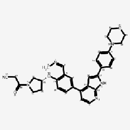 C/N=C\c1cc(-c2ccnc3[nH]c(-c4ccc(N5CCOCC5)cc4)cc23)ccc1O[C@@H]1CCN(C(=O)CC#N)C1